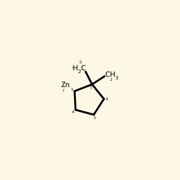 [CH2]C1(C)CCCC1.[Zn]